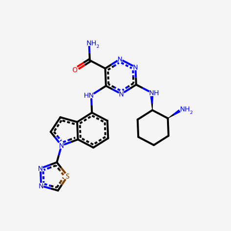 NC(=O)c1nnc(N[C@@H]2CCCC[C@@H]2N)nc1Nc1cccc2c1ccn2-c1nncs1